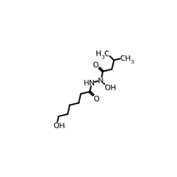 CC(C)CC(=O)N(O)NC(=O)CCCCCO